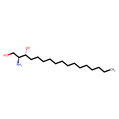 CCCCCCCCCCCCCC[C@@H](O)[C@@H](N)CO